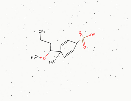 CCCC(OC)C1(C)C=CC(S(=O)(=O)O)C=C1